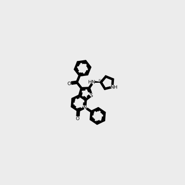 O=C(c1ccccc1)c1c(N[C@H]2CCNC2)sc2c1ccc(=O)n2-c1ccccc1